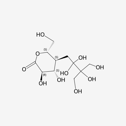 O=C1O[C@H](CO)[C@@H](CC(O)(O)C(O)(CO)CO)[C@H](O)[C@H]1O